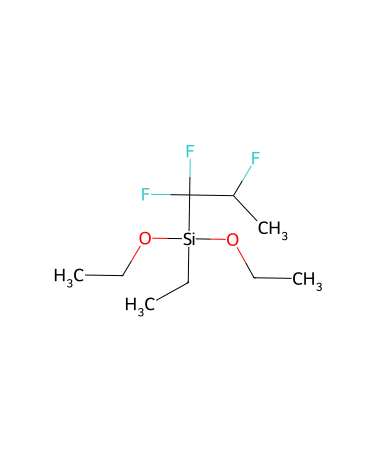 CCO[Si](CC)(OCC)C(F)(F)C(C)F